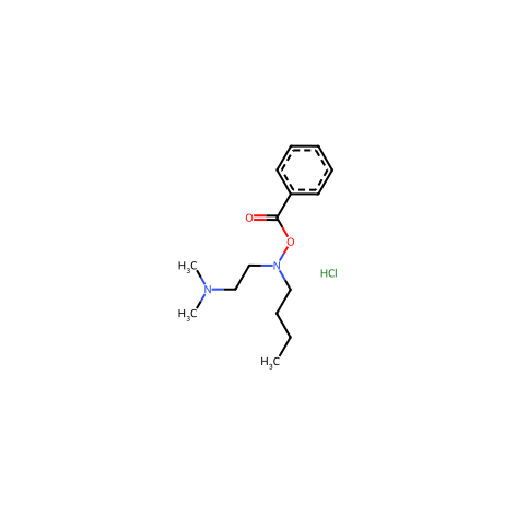 CCCCN(CCN(C)C)OC(=O)c1ccccc1.Cl